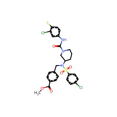 COC(=O)c1ccc(CN(C2CCCN(C(=O)Nc3ccc(F)c(Cl)c3)C2)S(=O)(=O)c2ccc(Cl)cc2)cc1